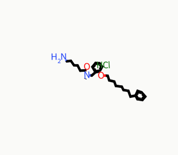 CN(Cc1ccccc1OCCCCCCCCc1ccccc1)C(=O)CCCCCN.Cl